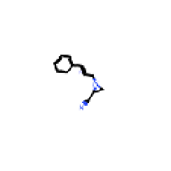 N#CC1CN1C/C=C/c1ccccc1